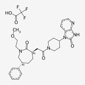 COCCN1C[C@@H](c2ccccc2)CC[C@H](CC(=O)N2CCC(n3c(=O)[nH]c4ncccc43)CC2)C1=O.O=C(O)C(F)(F)F